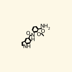 CCOc1c(NC(=O)c2ccc3[nH]ccc3c2)cccc1C(N)=O